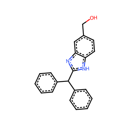 OCc1ccc2[nH]c(C(c3ccccc3)c3ccccc3)nc2c1